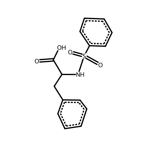 O=C(O)C(Cc1ccccc1)NS(=O)(=O)c1ccccc1